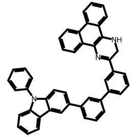 c1ccc(-n2c3ccccc3c3cc(-c4cccc(-c5cccc(C6=Nc7c(c8ccccc8c8ccccc78)NC6)c5)c4)ccc32)cc1